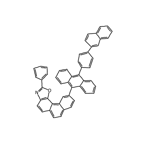 c1ccc(-c2nc3ccc4ccc5ccc(-c6c7ccccc7c(-c7ccc(-c8ccc9ccccc9c8)cc7)c7ccccc67)cc5c4c3o2)cc1